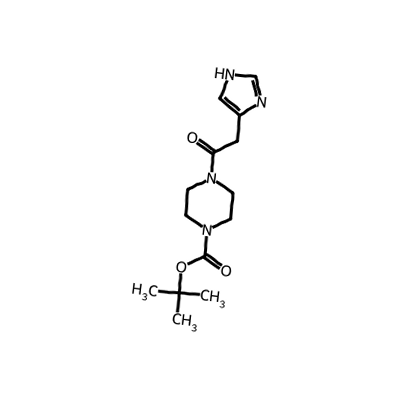 CC(C)(C)OC(=O)N1CCN(C(=O)Cc2c[nH]cn2)CC1